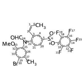 C/C=C\c1cc(S(=O)Oc2c(F)c(F)c(F)c(F)c2F)ccc1N(C=O)c1cc(C)c(Br)cc1OC